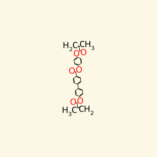 C=C(C)C(=O)Oc1ccc(OC(=O)c2ccc(-c3ccc(OC(=O)C(=C)C)cc3)cc2)cc1